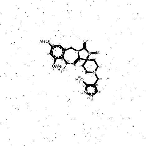 CCN1C(=O)N2Cc3cc(OC)cc(OC)c3[C@@H](C)C=C2C12CCN(Cc1c[nH]nc1C)CC2